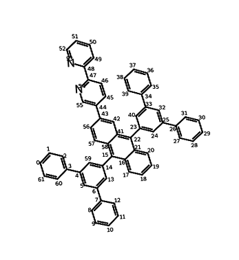 c1ccc(-c2cc(-c3ccccc3)cc(-c3c4ccccc4c(-c4cc(-c5ccccc5)cc(-c5ccccc5)c4)c4cc(-c5ccc(-c6ccccn6)nc5)ccc34)c2)cc1